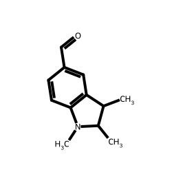 CC1c2cc(C=O)ccc2N(C)C1C